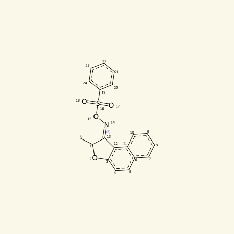 CC1Oc2ccc3ccccc3c2/C1=N/OS(=O)(=O)c1ccccc1